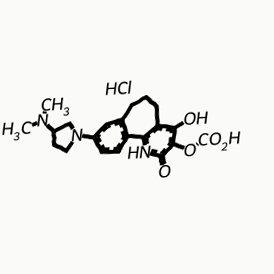 CN(C)C1CCN(c2ccc3c(c2)CCCc2c-3[nH]c(=O)c(OC(=O)O)c2O)C1.Cl